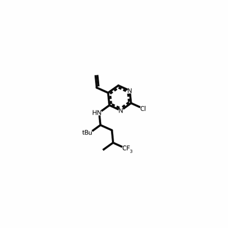 C=Cc1cnc(Cl)nc1NC(CC(C)C(F)(F)F)C(C)(C)C